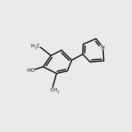 Cc1cc(-c2ccncc2)cc(C)c1O